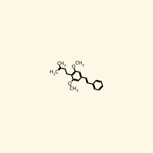 C=C(C)CCc1c(OC)cc(C=Cc2ccccc2)cc1OC